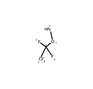 CCCOC(F)(F)C(F)(F)F